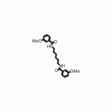 COc1cccc(C(=O)NCCCCCCNC(=O)c2cccc(OC)c2)c1